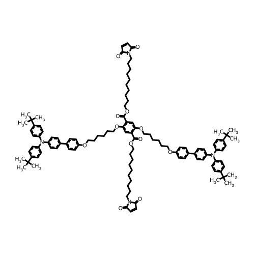 CC(C)(C)c1ccc(N(c2ccc(-c3ccc(OCCCCCCOc4cc(C(=O)OCCCCCCCCCCN5C(=O)C=CC5=O)c(OCCCCCCOc5ccc(-c6ccc(N(c7ccc(C(C)(C)C)cc7)c7ccc(C(C)(C)C)cc7)cc6)cc5)cc4C(=O)OCCCCCCCCCCN4C(=O)C=CC4=O)cc3)cc2)c2ccc(C(C)(C)C)cc2)cc1